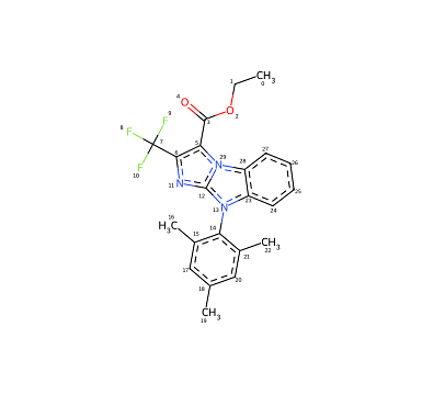 CCOC(=O)c1c(C(F)(F)F)nc2n(-c3c(C)cc(C)cc3C)c3ccccc3n12